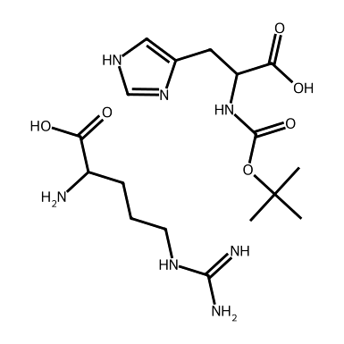 CC(C)(C)OC(=O)NC(Cc1c[nH]cn1)C(=O)O.N=C(N)NCCCC(N)C(=O)O